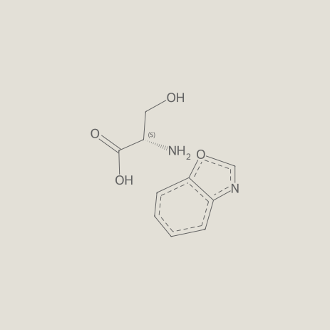 N[C@@H](CO)C(=O)O.c1ccc2ocnc2c1